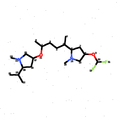 CC(CCC(C)C1CC(OC(F)F)CN1C)OC1CC(C(C)C)N(C)C1